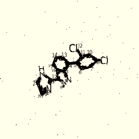 Cn1nc2c(-c3ccc(Cl)cc3Cl)cccc2c1-c1ncc[nH]1